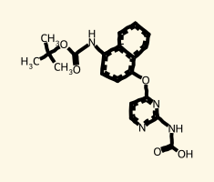 CC(C)(C)OC(=O)Nc1ccc(Oc2ccnc(NC(=O)O)n2)c2ccccc12